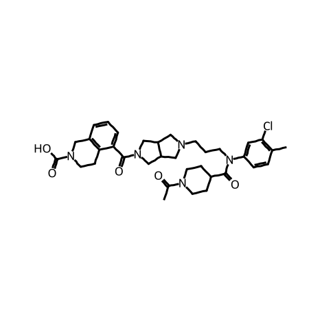 CC(=O)N1CCC(C(=O)N(CCCN2CC3CN(C(=O)c4cccc5c4CCN(C(=O)O)C5)CC3C2)c2ccc(C)c(Cl)c2)CC1